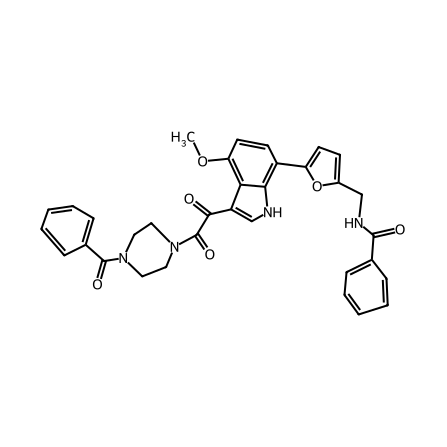 COc1ccc(-c2ccc(CNC(=O)c3ccccc3)o2)c2[nH]cc(C(=O)C(=O)N3CCN(C(=O)c4ccccc4)CC3)c12